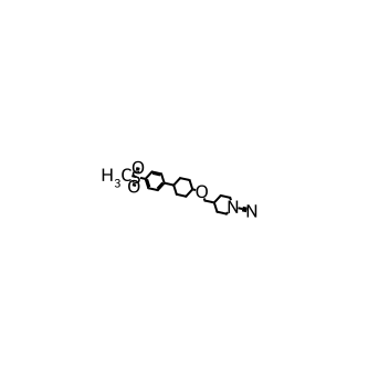 CS(=O)(=O)c1ccc(C2CCC(OCC3CCN(C#N)CC3)CC2)cc1